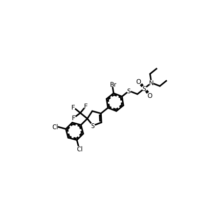 CCN(CC)S(=O)(=O)CSc1ccc(C2=CSC(c3cc(Cl)cc(Cl)c3)(C(F)(F)F)C2)cc1Br